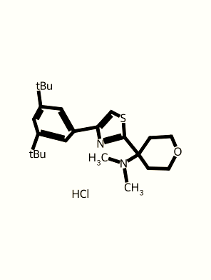 CN(C)C1(c2nc(-c3cc(C(C)(C)C)cc(C(C)(C)C)c3)cs2)CCOCC1.Cl